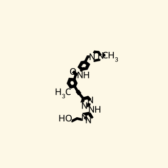 Cc1ccc(C(=O)Nc2ccc(CN3CCN(C)CC3)cc2)cc1C#Cc1cnc(Nc2cnn(CCCO)c2)nc1